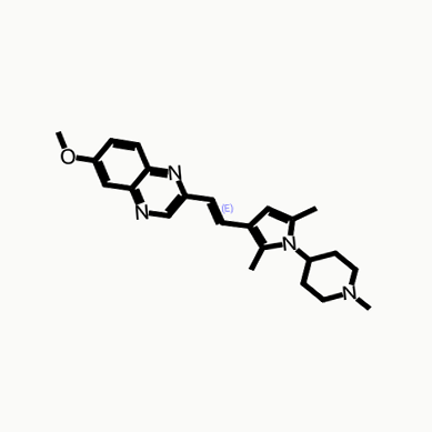 COc1ccc2nc(/C=C/c3cc(C)n(C4CCN(C)CC4)c3C)cnc2c1